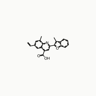 C=Cc1cc(C)c2nc(-c3oc4ccccc4c3C)cc(C(=O)O)c2c1